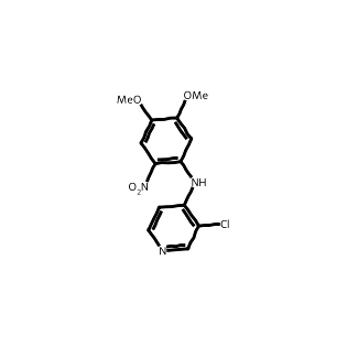 COc1cc(Nc2ccncc2Cl)c([N+](=O)[O-])cc1OC